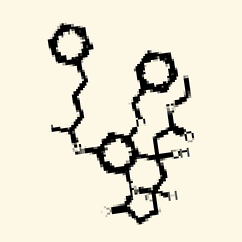 CCOC(=O)CC1(O)C[C@@H]2CCC(=O)N2c2cc(OC(C)CCCc3ccccc3)cc(OCc3ccccc3)c21